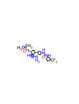 CN(C)C(=O)C=Cc1ccc(-c2ccc(NC(=O)Nc3cccc(C(F)(F)F)c3)cc2)c2c(N)n[nH]c12